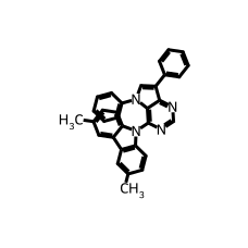 Cc1ccc2c(c1)c1cc(C)ccc1n2-c1ncnc2c(-c3ccccc3)cn(-c3ccccc3)c12